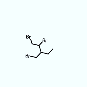 CCC(CBr)C(Br)CBr